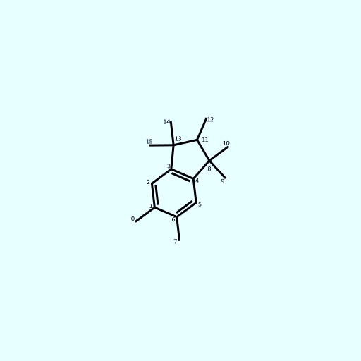 Cc1cc2c(cc1C)C(C)(C)C(C)C2(C)C